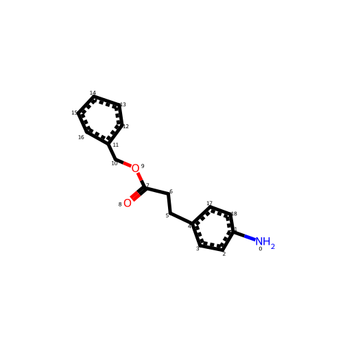 Nc1ccc(CCC(=O)OCc2ccccc2)cc1